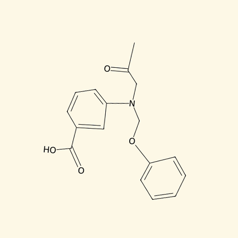 CC(=O)CN(COc1ccccc1)c1cccc(C(=O)O)c1